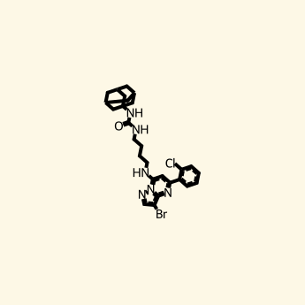 O=C(NCCCCNc1cc(-c2ccccc2Cl)nc2c(Br)cnn12)NC12CC3CC(CC(C3)C1)C2